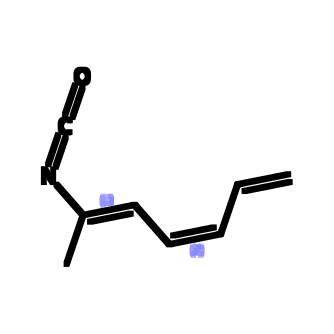 C=C/C=C\C=C(/C)N=C=O